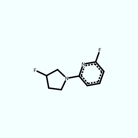 Fc1cccc(N2CCC(F)C2)n1